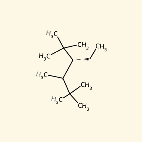 CC[C@H]([C](C)C(C)(C)C)C(C)(C)C